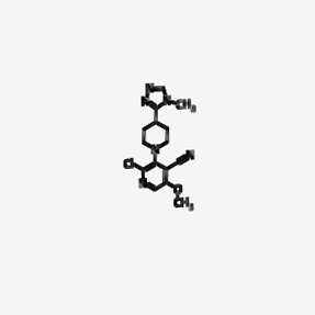 COc1cnc(Cl)c(N2CCC(c3nncn3C)CC2)c1C#N